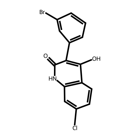 O=c1[nH]c2cc(Cl)ccc2c(O)c1-c1cccc(Br)c1